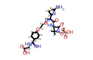 CC1(C)[C@H](NC(=O)/C(=N\OCCOc2ccc(C(=N)NCC(=O)O)cc2)c2csc(N)n2)C(=O)N1OS(=O)(=O)O